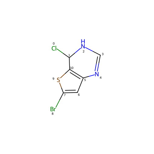 ClC1NC=Nc2cc(Br)sc21